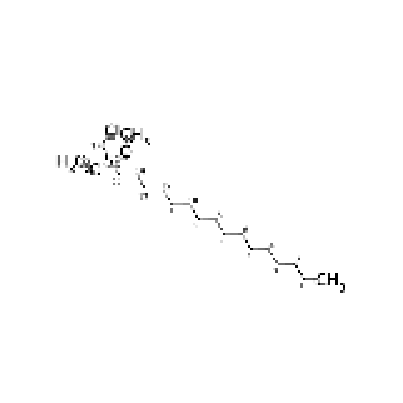 CCCCCCCCCCCCCCCC[Si](CC)(OC)OC